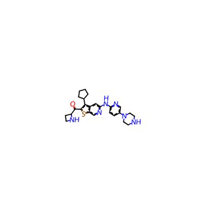 O=C(c1sc2cnc(Nc3ccc(N4CCNCC4)cn3)cc2c1C1CCCC1)C1CCN1